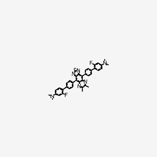 Cc1nc2c(-c3ccc(-c4ccc(N(C)C)cc4F)cc3)c3nsnc3c(-c3ccc(-c4ccc(N(C)C)cc4F)cc3)c2nc1C